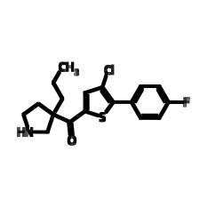 CCCC1(C(=O)c2cc(Cl)c(-c3ccc(F)cc3)s2)CCNC1